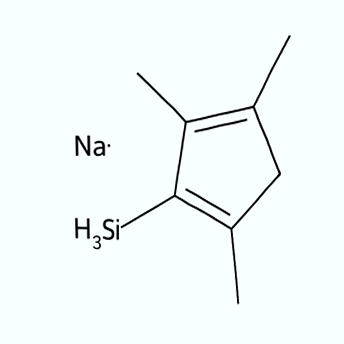 CC1=C(C)C([SiH3])=C(C)C1.[Na]